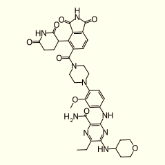 CCc1nc(C(N)=O)c(Nc2ccc(N3CCN(C(=O)c4ccc5c(c4C4CCC(=O)NC4=O)C(=O)NC5=O)CC3)c(OC)c2)nc1NC1CCOCC1